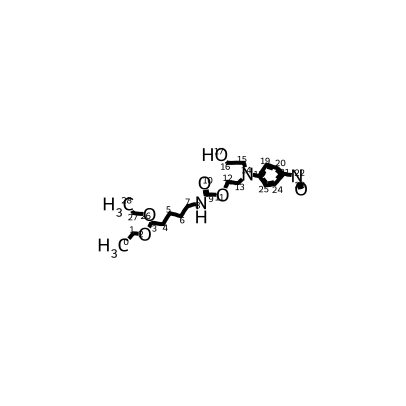 CCOC(CCCCNC(=O)OCCN(CCO)c1ccc(N=O)cc1)OCC